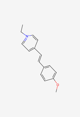 CC[n+]1ccc(C=Cc2ccc(OC)cc2)cc1